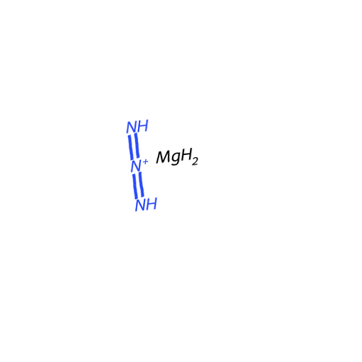 N=[N+]=N.[MgH2]